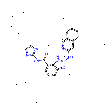 O=C(Nc1ncc[nH]1)c1cccc2nc(Nc3cc4ccccc4cn3)[nH]c12